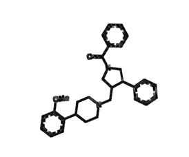 COc1ccccc1C1CCN(CC2CN(C(=O)c3ccccc3)CC2c2ccccc2)CC1